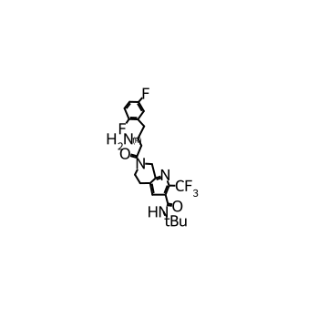 CC(C)(C)NC(=O)c1cc2c(nc1C(F)(F)F)CN(C(=O)C[C@H](N)Cc1cc(F)ccc1F)CC2